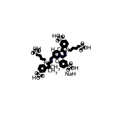 CC1(C)C(/C=C/C2=C(Oc3ccc(S(=O)(=O)O)cc3)C(=C/C=C3/N(CCCCS(=O)(=O)O)c4ccc(S(=O)(=O)O)cc4C3(C)C)/CCC2)=[N+](CCCCS(=O)(=O)O)c2ccc(S(=O)(=O)O)cc21.[NaH]